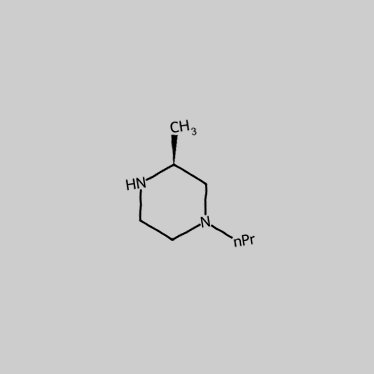 CCCN1CCN[C@@H](C)C1